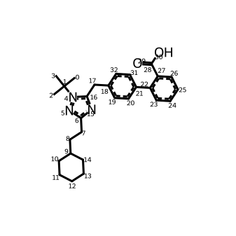 CC(C)(C)n1nc(CCC2CCCCC2)nc1Cc1ccc(-c2ccccc2C(=O)O)cc1